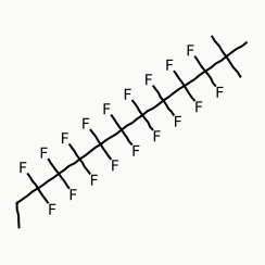 CCC(F)(F)C(F)(F)C(F)(F)C(F)(F)C(F)(F)C(F)(F)C(F)(F)C(F)(F)C(F)(F)C(C)(C)C